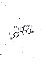 CCN(C(=O)C(/C(=C\C(=O)O)C(=O)O)C1CCNCC1)c1ccc(Br)c(Br)c1